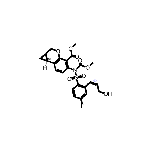 COC(=O)c1c(N(C(=O)OC)S(=O)(=O)c2ccc(F)cc2/C=C\CO)ccc2c1OCC1C[C@H]21